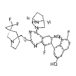 O=[N+]([O-])c1cc2c(N3C[C@H]4CC[C@@H](C3)N4)nc(OC[C@@]34CCCN3C[C@@]3(CC3(F)F)C4)nc2c(F)c1-c1cc(O)cc2ccc(F)c(F)c12